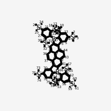 C[Si](C)(C)c1cc2c(c([Si](C)(C)C)c1)B(c1c([Si](C)(C)C)cc([Si](C)(C)C)cc1[Si](C)(C)C)c1cc3ccc4c5c(cc6ccc(c1-2)c3c64)B(c1c([Si](C)(C)C)cc([Si](C)(C)C)cc1[Si](C)(C)C)c1c-5cc([Si](C)(C)C)cc1[Si](C)(C)C